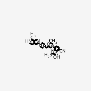 Bc1nc2c(N3CC(C)OC(CN4CCN(c5cc6c(cn5)[C@@H](C)NCC6)CC4)C3)ccc(C#N)c2nc1O